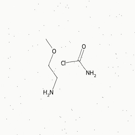 COCCN.NC(=O)Cl